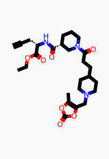 C#CC[C@H](NC(=O)[C@@H]1CCCN(C(=O)CCC2CCN(Cc3oc(=O)oc3C)CC2)C1)C(=O)OCC